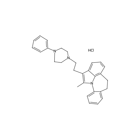 Cc1c(CCN2CCN(c3ccccc3)CC2)c2cccc3c2n1-c1ccccc1CC3.Cl